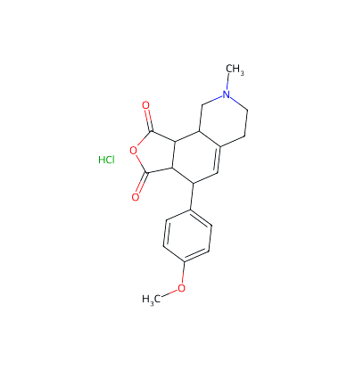 COc1ccc(C2C=C3CCN(C)CC3C3C(=O)OC(=O)C23)cc1.Cl